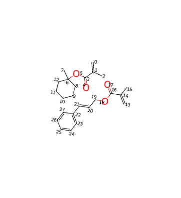 C=C(C)C(=O)OC1(C)CCCCC1.C=C(C)C(=O)OCC=Cc1ccccc1